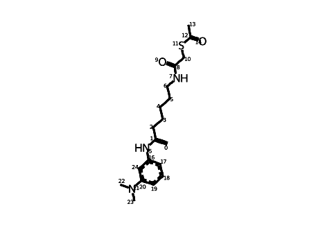 C=C(CCCCCNC(=O)CSC(C)=O)Nc1cccc(N(C)C)c1